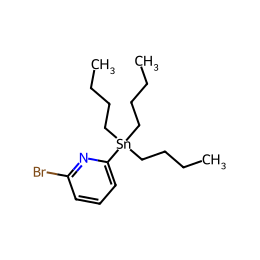 CCC[CH2][Sn]([CH2]CCC)([CH2]CCC)[c]1cccc(Br)n1